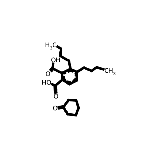 CCCCc1ccc(C(=O)O)c(C(=O)O)c1CCCC.O=C1CCCCC1